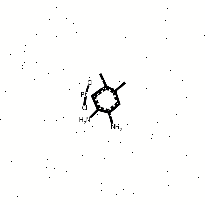 Cc1cc(N)c(N)cc1C.[Cl][Pt][Cl]